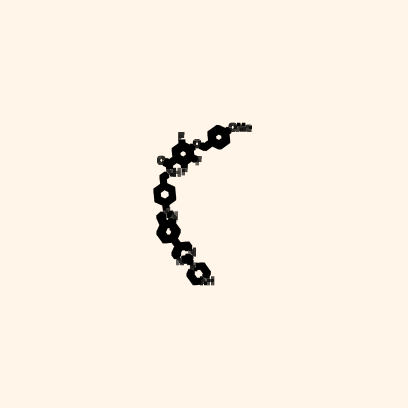 COc1ccc(COc2c(F)cc(C(=O)NCC3CCC(n4cc5ccc(-c6cnc(N7CCNCC7)nc6)cc5n4)CC3)c(F)c2F)cc1